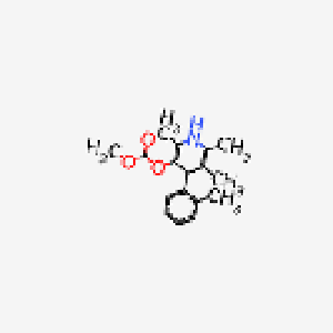 COC(=O)OC1=C(C)NC(C)=C(C)C1c1ccccc1C